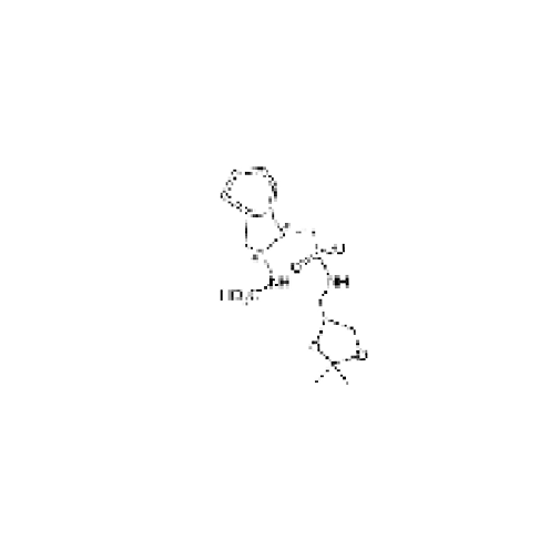 CC1(C)OCC(CNS(=O)(=O)C[C@H]2c3ccccc3C[C@H]2NC(=O)O)O1